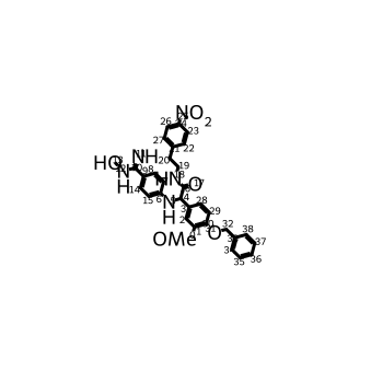 COc1cc(C(Nc2ccc(C(=N)NO)cc2)C(=O)NCCc2ccc([N+](=O)[O-])cc2)ccc1OCc1ccccc1